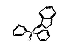 O=P(/N=C1\CCc2ccccc21)(c1ccccc1)c1ccccc1